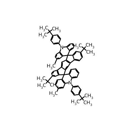 Cc1ccc2c(c1)N(c1ccc(C(C)(C)C)cc1)c1ccccc1C21c2cc(C(C)(C)C)ccc2-c2cc3c(cc21)-c1ccc(C(C)(C)C)cc1C31c2ccccc2N(c2ccc(C(C)(C)C)cc2)c2ccc(C)cc21